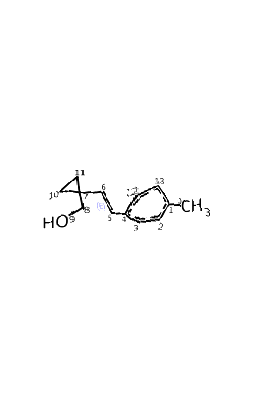 Cc1ccc(/C=C/C2(CO)CC2)cc1